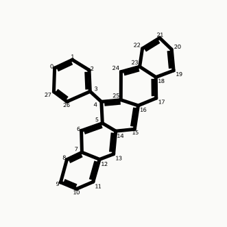 c1ccc(-c2c3cc4ccccc4cc3cc3cc4ccccc4cc23)cc1